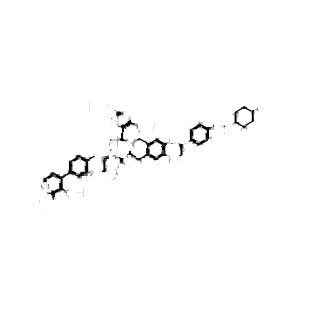 Cc1nc(C(=O)N2Cc3cc4c(cc3C[C@H]2C(=O)N[C@@H](Cc2ccc(-c3ccnc(C)c3C)cc2)C(=O)O)OC[C@H](c2ccc(OC[C@H]3CC[C@H](C)CC3)cc2)O4)c(C)o1